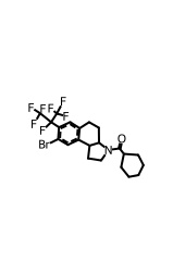 O=C(C1CCCCC1)N1CCC2c3cc(Br)c(C(F)(C(F)(F)F)C(F)(F)F)cc3CCC21